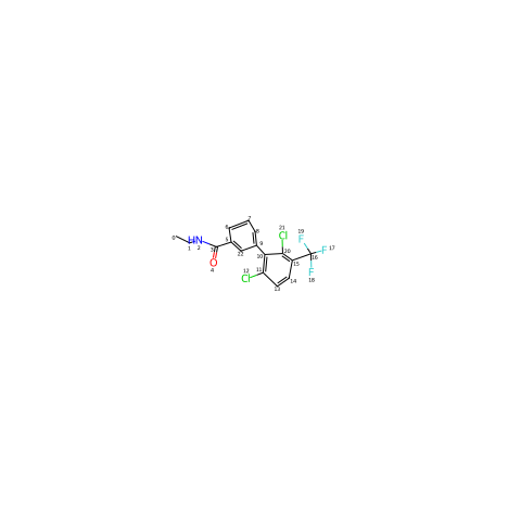 CCNC(=O)c1cccc(-c2c(Cl)ccc(C(F)(F)F)c2Cl)c1